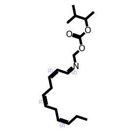 CC/C=C\C/C=C\C/C=C\C=N/COC(=O)OC(C)C(C)C